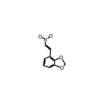 O=[N+]([O-])C=Cc1cccc2c1OCO2